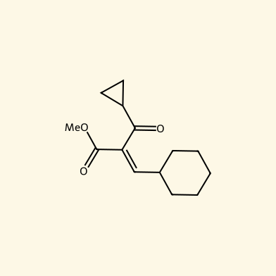 COC(=O)/C(=C/C1CCCCC1)C(=O)C1CC1